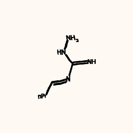 CCCC=NC(=N)NN